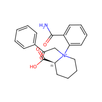 NC(=O)c1ccccc1[N+]1(CC(=O)c2ccccc2)CCCC[C@H]1C(=O)O